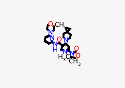 C[C@@H]1CN(c2cccc(NC(=O)c3cnc(N4C(=O)OCC4(C)C)cc3N3CCC4(CC3)CC4)n2)CCO1